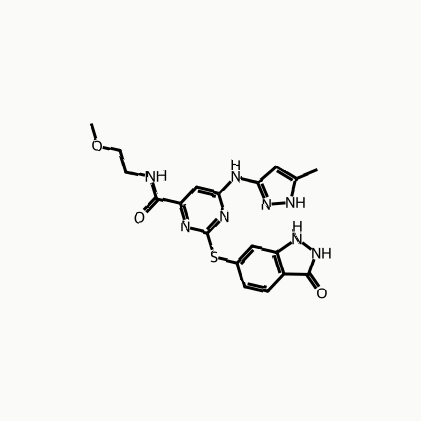 COCCNC(=O)c1cc(Nc2cc(C)[nH]n2)nc(Sc2ccc3c(=O)[nH][nH]c3c2)n1